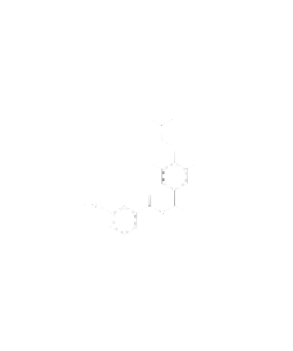 CC(=O)Nc1cc(C(=O)NC(C)c2cc(C)c(OCC(F)F)c(C)c2)ccn1